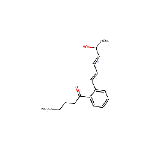 CCCCCCCCC(O)/C=C/C=C/c1ccccc1C(=O)CCCC(=O)O